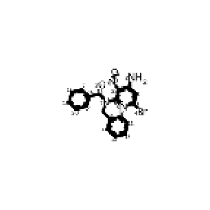 Nc1cc(Br)nc(N(Cc2ccccc2)Cc2ccccc2)c1[N+](=O)[O-]